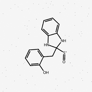 O=[S+]C1(Cc2ccccc2O)Nc2ccccc2N1